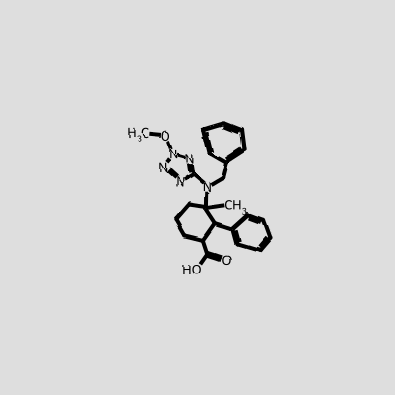 COn1nnc(N(Cc2ccccc2)C2(C)CCCC(C(=O)O)C2c2ccccc2)n1